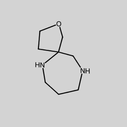 C1CNCC2(CCOC2)NC1